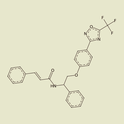 O=C(C=Cc1ccccc1)NC(COc1ccc(-c2noc(C(F)(F)F)n2)cc1)c1ccccc1